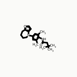 Cc1cc(N2CCCCc3occc32)cc(C)c1NC(=O)CC(C)(C)C